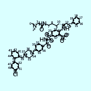 CN(C)CC(=O)NCCCC[C@H](CSc1ccccc1)Nc1ccc(S(=O)(=O)NC(=O)c2ccc(N3CCN(Cc4ccccc4-c4ccc(Cl)cc4)CC3)cc2)cc1[N+](=O)[O-]